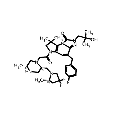 C[C@@H]1CN(CC(=O)N2CC(C)(C)c3c2cc(Cc2ccc(F)cc2)c2nn(CC(C)(C)O)c(=O)n32)[C@@H](CN2CC(F)(F)C[C@H]2C)CN1